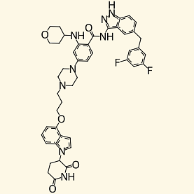 O=C1CCC(n2ccc3c(OCCCN4CCN(c5ccc(C(=O)Nc6n[nH]c7ccc(Cc8cc(F)cc(F)c8)cc67)c(NC6CCOCC6)c5)CC4)cccc32)C(=O)N1